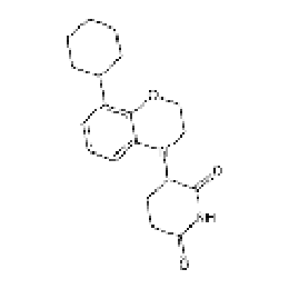 O=C1CCC(N2CCOc3c(C4CCCCC4)cccc32)C(=O)N1